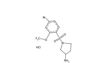 Cl.NC1CCN(S(=O)(=O)c2ccc(Br)cc2OC(F)(F)F)C1